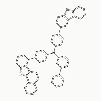 c1ccc(-c2cccc(N(c3ccc(-c4ccc5sc6ccccc6c5c4)cc3)c3ccc(-c4cccc5oc6c7ccccc7ccc6c45)cc3)c2)cc1